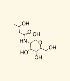 CC(O)CC(=O)NC1C(O)OC(CO)C(O)C1O